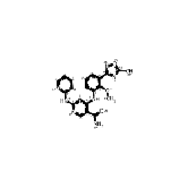 COc1c(Nc2nc(Nc3ccccn3)ncc2C(N)=O)cccc1-c1noc(C)n1